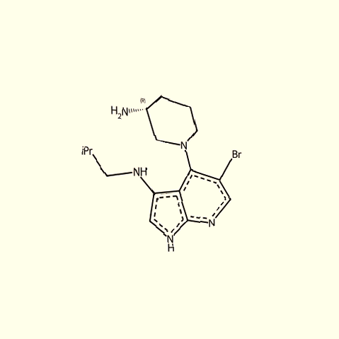 CC(C)CNc1c[nH]c2ncc(Br)c(N3CCC[C@@H](N)C3)c12